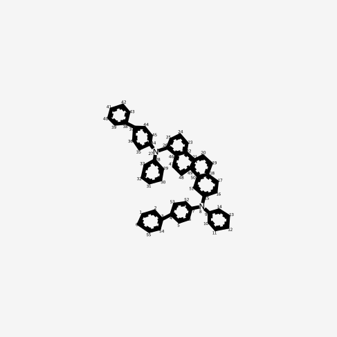 c1ccc(-c2ccc(N(c3ccccc3)c3ccc4ccc5c6cccc(N(c7ccccc7)c7ccc(-c8ccccc8)cc7)c6ccc5c4c3)cc2)cc1